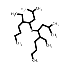 CCCCC(CC)C(CC(C)C)SC(CC(C)C)C(CC)CCCC